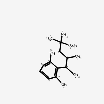 CC(CC(C)(N)C(=O)O)C(C)c1c(O)cccc1O